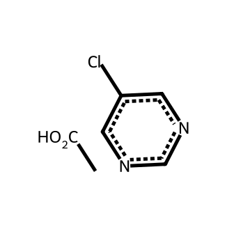 CC(=O)O.Clc1cncnc1